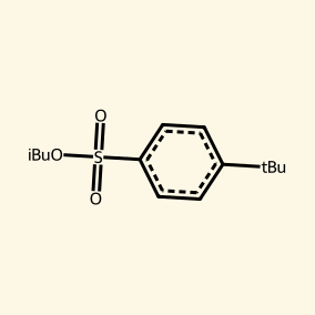 CC(C)COS(=O)(=O)c1ccc(C(C)(C)C)cc1